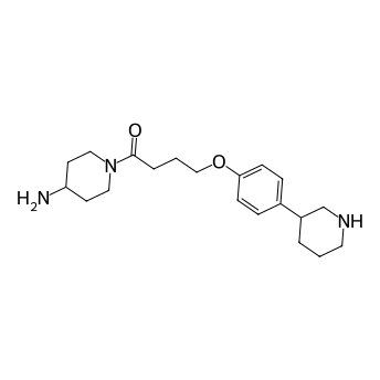 NC1CCN(C(=O)CCCOc2ccc(C3CCCNC3)cc2)CC1